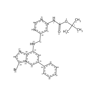 CC(C)(C)OC(=O)Nc1cc(CNc2cc(-c3ccccc3)cn3c(Br)cnc23)ncn1